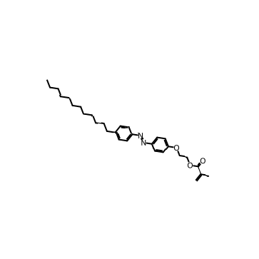 C=C(C)C(=O)OCCOc1ccc(N=Nc2ccc(CCCCCCCCCCCC)cc2)cc1